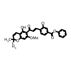 COc1cc2c(c(O)c1C(=O)C=Cc1ccc(C(=O)Oc3ccccc3)cc1Cl)C=CC(C)(C)O2